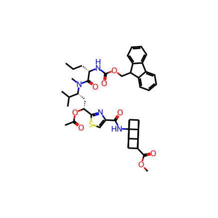 CCC[C@H](NC(=O)OCC1c2ccccc2-c2ccccc21)C(=O)N(C)[C@H](C[C@@H](OC(C)=O)c1nc(C(=O)NC23C4C5C2C2C3C4C52C(=O)OC)cs1)C(C)C